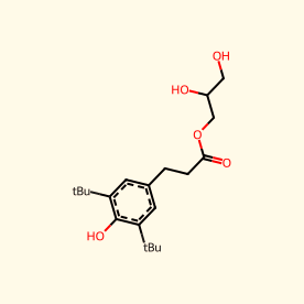 CC(C)(C)c1cc(CCC(=O)OCC(O)CO)cc(C(C)(C)C)c1O